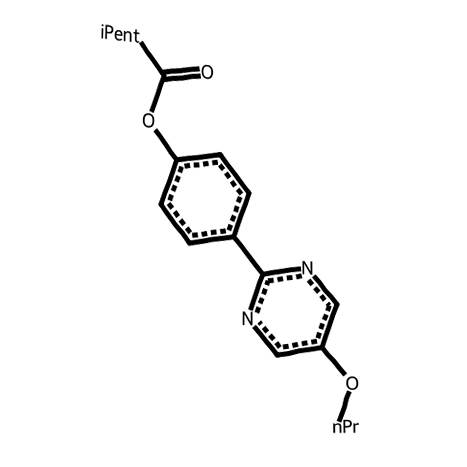 CCCOc1cnc(-c2ccc(OC(=O)C(C)CCC)cc2)nc1